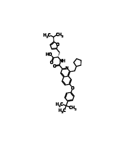 CC(C)c1ccc(C[C@H](NC(=O)c2cc3ccc(Oc4ccc(C(C)(C)C)cc4)cc3c(CC3CCCC3)n2)C(=O)O)o1